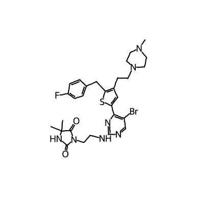 CN1CCN(CCc2cc(-c3nc(NCCN4C(=O)NC(C)(C)C4=O)ncc3Br)sc2Cc2ccc(F)cc2)CC1